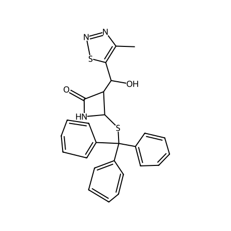 Cc1nnsc1C(O)C1C(=O)NC1SC(c1ccccc1)(c1ccccc1)c1ccccc1